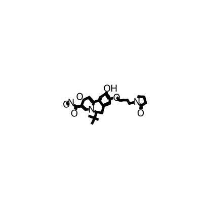 CC(C)(C)C1Cc2cc(OCCCN3CCCC3=O)c(O)cc2-c2cc(=O)c(C(=O)N=O)cn21